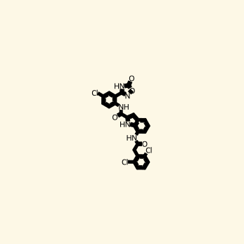 O=C(Cc1c(Cl)cccc1Cl)Nc1cccc2cc(C(=O)Nc3ccc(Cl)cc3-c3noc(=O)[nH]3)[nH]c12